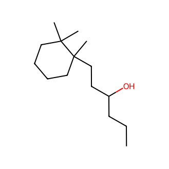 CCCC(O)CCC1(C)CCCCC1(C)C